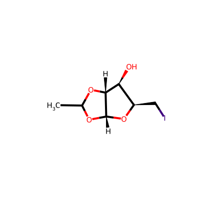 CC1O[C@H]2O[C@H](CI)[C@H](O)[C@H]2O1